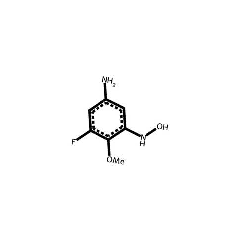 COc1c(F)cc(N)cc1NO